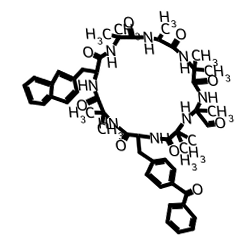 CC1NC(=O)C(C)(C)NC(=O)C(Cc2ccc3ccccc3c2)NC(=O)C(C)(C)NC(=O)C(Cc2ccc(C(=O)c3ccccc3)cc2)NC(=O)C(C)(C)NC(C)(C=O)NC(=O)C(C)(C)NC1=O